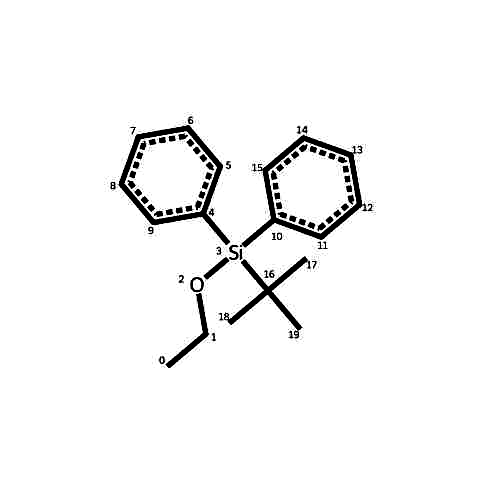 CCO[Si](c1ccccc1)(c1ccccc1)C(C)(C)C